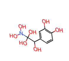 Oc1ccc(C(O)C(O)(O)N(O)O)cc1O